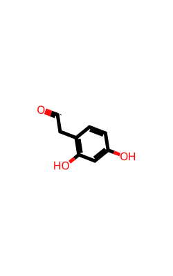 O=[C]Cc1ccc(O)cc1O